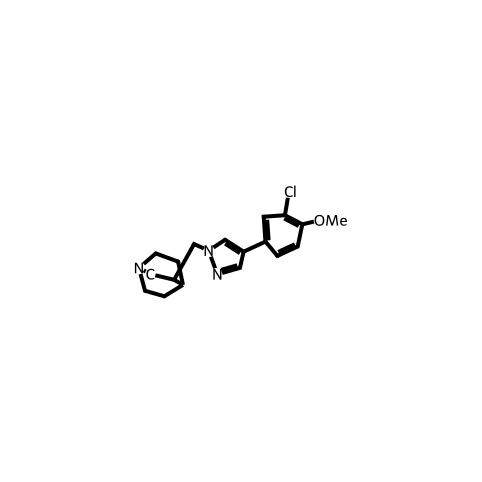 COc1ccc(-c2cnn(CC3CN4CCC3CC4)c2)cc1Cl